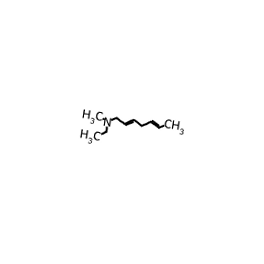 CC=CCC=CCN(C)CC